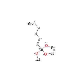 CCCCCCCCCCCC=C[Si](OCC)(OCC)OCC